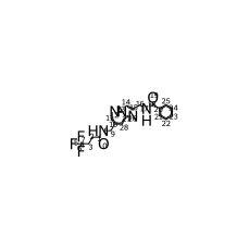 O=C(CCC(F)(F)F)NCc1cnn2cc(CNC(=O)c3ccccc3)nc2c1